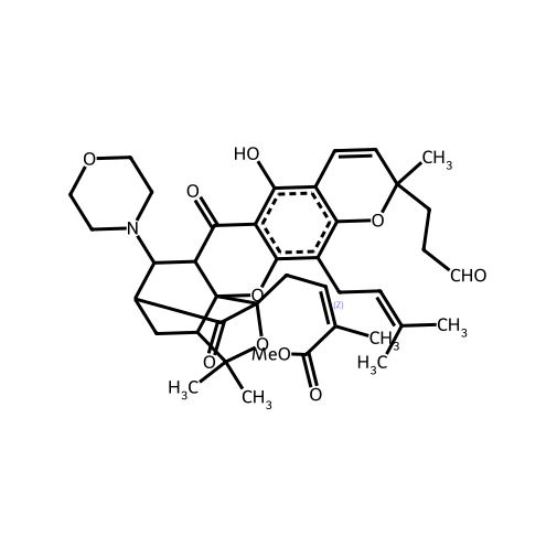 COC(=O)/C(C)=C\CC12OC(C)(C)C3CC(C1=O)C(N1CCOCC1)C1C(=O)c4c(O)c5c(c(CC=C(C)C)c4OC132)OC(C)(CCC=O)C=C5